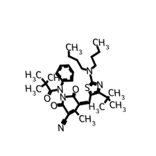 CCCCN(CCCC)c1nc(C(C)(C)C)c(/C=C2\C(=O)N(N(C(=O)C(C)(C)C)c3ccccc3)C(=O)C(C#N)=C2C)s1